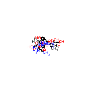 CC[C@H](C)[C@H](NC(=O)[C@H](CC(=O)O)NC(=O)[C@@H](N)CCC(N)=O)C(=O)N1CCC[C@H]1C(=O)N[C@@H](Cc1ccc(O)cc1)C(=O)N[C@@H](CC(C)C)C(=O)N[C@@H](CCC(=O)O)C(=O)O